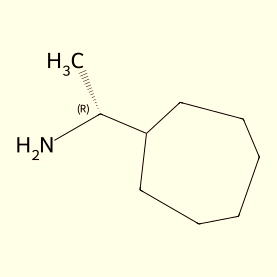 C[C@@H](N)C1CCCCCC1